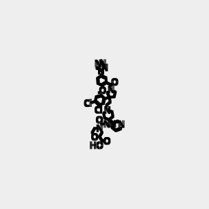 COc1ccc(-n2cnnn2)cc1C(=O)N1CCC(CCN2CCC(NC(=O)N3CCOC(C(=O)O)C3)(c3cccnc3)CC2)(c2ccc(Cl)c(Cl)c2)C1